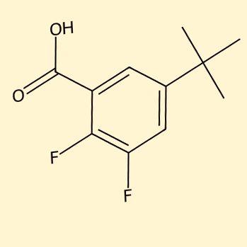 CC(C)(C)c1cc(F)c(F)c(C(=O)O)c1